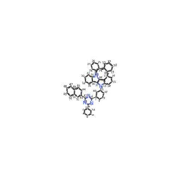 c1ccc(-c2nc(-c3cccc(-n4c5cccc6c7ccccc7c7ccccc7n7c8ccccc8c4c7c65)c3)nc(-c3ccc4ccccc4c3)n2)cc1